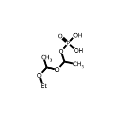 CCOC(C)OC(C)OP(=O)(O)O